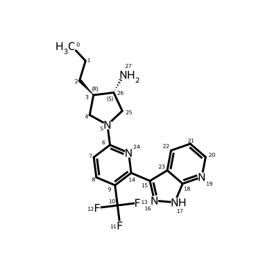 CCC[C@@H]1CN(c2ccc(C(F)(F)F)c(-c3n[nH]c4ncccc34)n2)C[C@H]1N